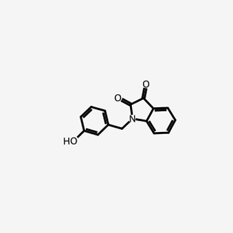 O=C1C(=O)N(Cc2cccc(O)c2)c2ccccc21